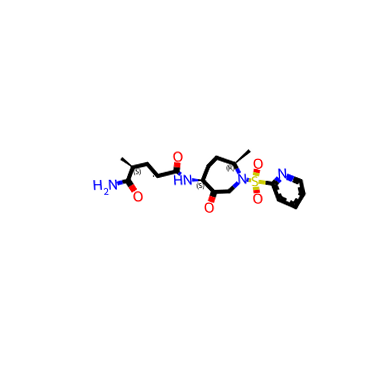 C[C@@H]1CC[C@H](NC(=O)[CH]C[C@H](C)C(N)=O)C(=O)CN1S(=O)(=O)c1ccccn1